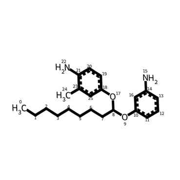 CCCCCCCCC(Oc1cccc(N)c1)Oc1ccc(N)c(C)c1